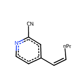 CCC/C=C\c1ccnc(C#N)c1